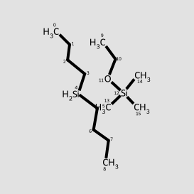 CCCC[SiH2]CCCC.CCO[Si](C)(C)C